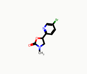 CN1CC(c2ccc(Br)cn2)OC1=O